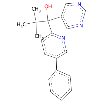 CC(C)(C)C(O)(c1cncnc1)c1ccc(-c2ccccc2)cn1